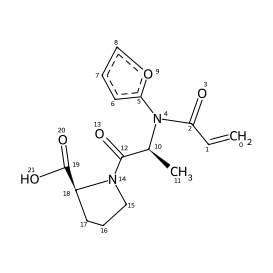 C=CC(=O)N(c1ccco1)[C@@H](C)C(=O)N1CCC[C@H]1C(=O)O